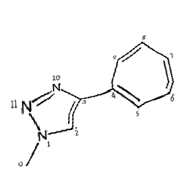 Cn1[c]c(-c2ccccc2)nn1